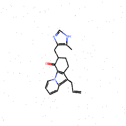 C=CCc1c2c(n3ccccc13)C(=O)C(Cc1nc[nH]c1C)CC2